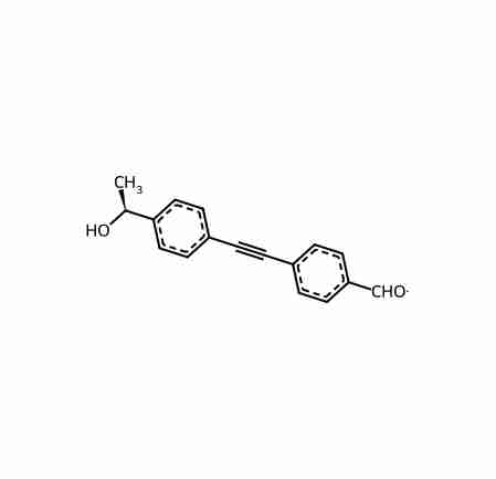 C[C@H](O)c1ccc(C#Cc2ccc([C]=O)cc2)cc1